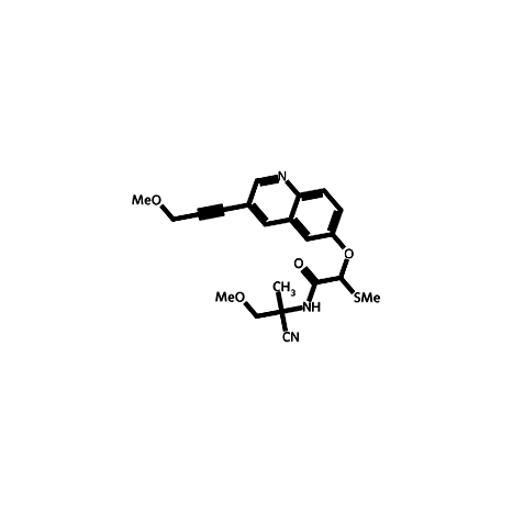 COCC#Cc1cnc2ccc(OC(SC)C(=O)NC(C)(C#N)COC)cc2c1